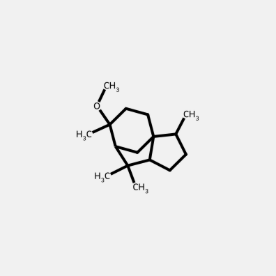 COC1(C)CCC23CC1C(C)(C)C2CCC3C